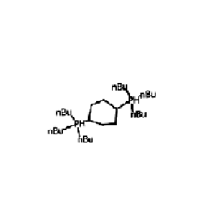 CCCC[PH](CCCC)(CCCC)C1CCC([PH](CCCC)(CCCC)CCCC)CC1